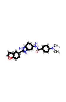 CN(C)c1ccc(C(=O)Nc2ccc3[nH]c(-c4ccc5occc5c4)nc3c2)cc1